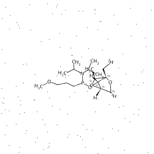 [2H]C[C@]12O[C@@H]([3H])[C@H](O[C@H]1C)[C@@H]2OP(CCCOC)N(C(C)C)C(C)C